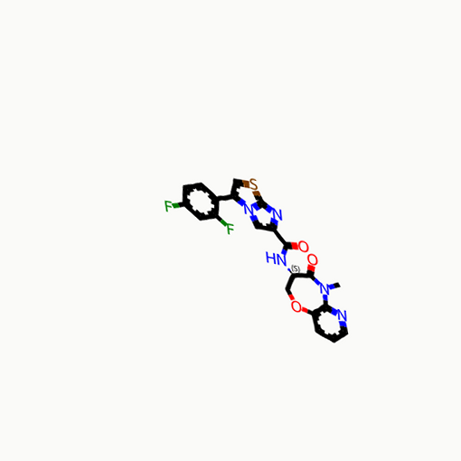 CN1C(=O)[C@@H](NC(=O)c2cn3c(-c4ccc(F)cc4F)csc3n2)COc2cccnc21